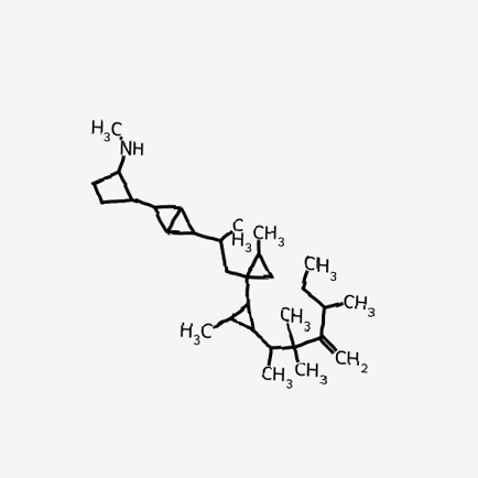 C=C(C(C)CC)C(C)(C)C(C)C1C(C)C1C1(CC(C)C2C3C(C4CCC4NC)C23)CC1C